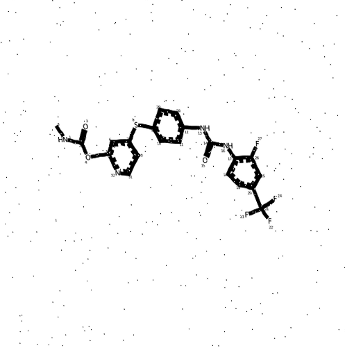 CNC(=O)Oc1cc(Sc2ccc(NC(=O)Nc3ccc(C(F)(F)F)cc3F)cc2)ccn1